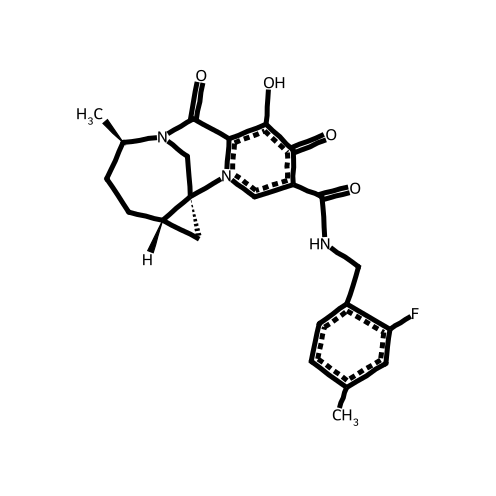 Cc1ccc(CNC(=O)c2cn3c(c(O)c2=O)C(=O)N2C[C@@]34C[C@@H]4CC[C@H]2C)c(F)c1